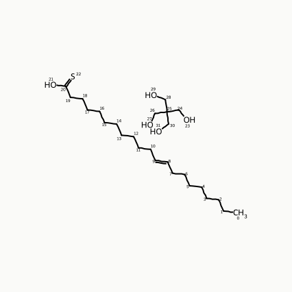 CCCCCCCCC=CCCCCCCCCCCC(O)=S.OCC(CO)(CO)CO